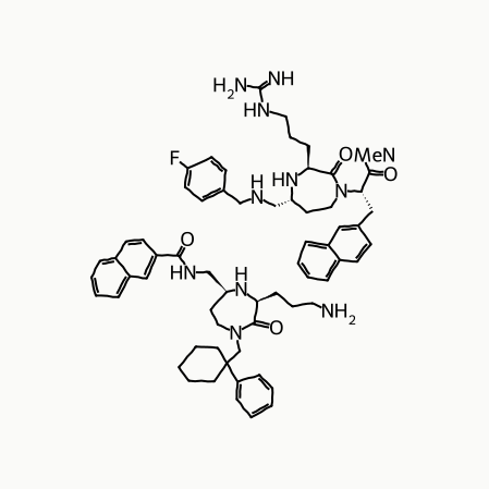 CNC(=O)[C@H](Cc1ccc2ccccc2c1)N1CC[C@H](CNCc2ccc(F)cc2)N[C@@H](CCCNC(=N)N)C1=O.NCCC[C@@H]1N[C@H](CNC(=O)c2ccc3ccccc3c2)CCN(CC2(c3ccccc3)CCCCC2)C1=O